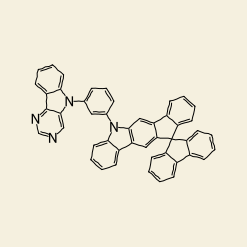 c1cc(-n2c3ccccc3c3cc4c(cc32)-c2ccccc2C42c3ccccc3-c3ccccc32)cc(-n2c3ccccc3c3ncncc32)c1